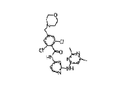 Cc1cc(Nc2cc(NC(=O)c3c(Cl)cc(CN4CCOCC4)cc3Cl)ccn2)nc(C)n1